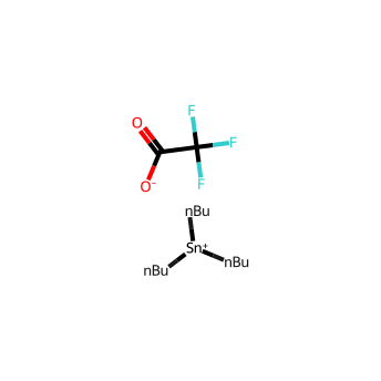 CCC[CH2][Sn+]([CH2]CCC)[CH2]CCC.O=C([O-])C(F)(F)F